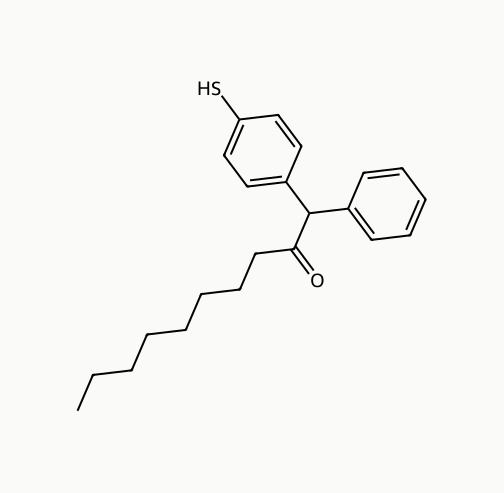 CCCCCCCCC(=O)C(c1ccccc1)c1ccc(S)cc1